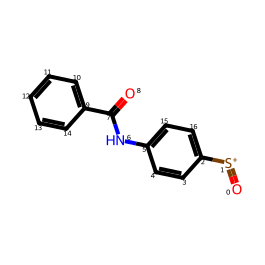 O=[S+]c1ccc(NC(=O)c2ccccc2)cc1